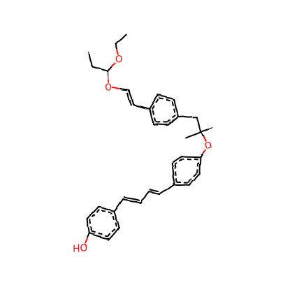 CCOC(CC)OC=Cc1ccc(CC(C)(C)Oc2ccc(C=CC=Cc3ccc(O)cc3)cc2)cc1